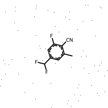 Cc1cc(C(F)F)cc(F)c1C#N